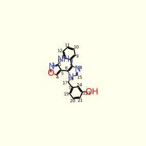 Nc1nocc1-c1c(-c2ccccc2)ncn1Cc1cccc(O)c1